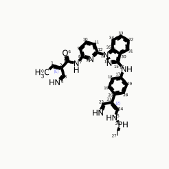 C/C=C(\C=N)C(=O)Nc1cccc(-n2nc(Nc3ccc(/C(C=N)=C/NPI)cc3)c3ccccc32)n1